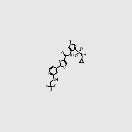 Cn1cc(NC(=O)c2coc(-c3ccnc(NCC(F)(F)F)c3)n2)c(S(=O)(=O)NC2CC2)n1